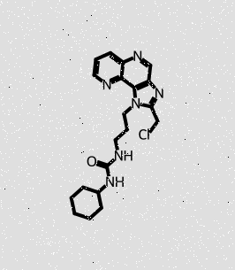 O=C(NCCCn1c(CCl)nc2cnc3cccnc3c21)NC1CCCCC1